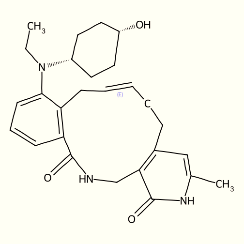 CCN(c1cccc2c1C/C=C/CCc1cc(C)[nH]c(=O)c1CNC2=O)[C@H]1CC[C@@H](O)CC1